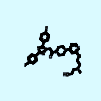 CN(CCO)CCOc1cc(N2CCN(C(=O)Cn3nc(-c4ccc(F)cc4)nc3-c3ccc(F)cc3)CC2)ncn1